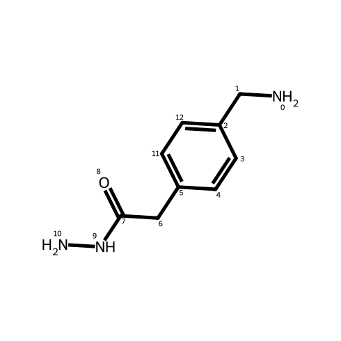 NCc1ccc(CC(=O)NN)cc1